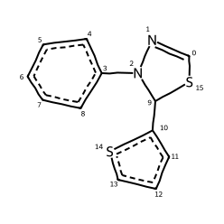 C1=NN(c2ccccc2)C(c2cccs2)S1